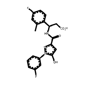 Cc1cc(F)ccc1C(CC(=O)O)NC(=O)c1cc(O)n(-c2cccc(F)c2)n1